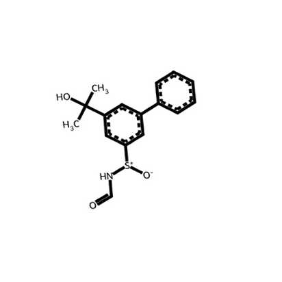 CC(C)(O)c1cc(-c2ccccc2)cc([S+]([O-])NC=O)c1